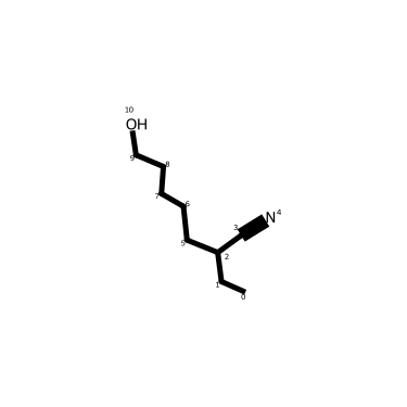 CCC(C#N)CCCCCO